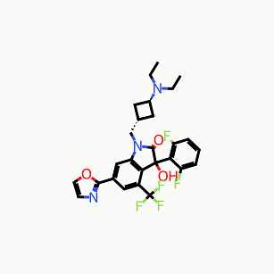 CCN(CC)[C@H]1C[C@H](CN2C(=O)C(O)(c3c(F)cccc3F)c3c2cc(-c2ncco2)cc3C(F)(F)F)C1